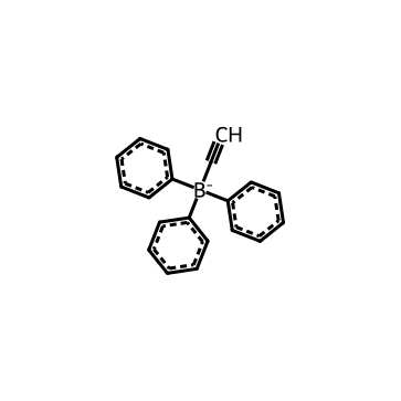 C#C[B-](c1ccccc1)(c1ccccc1)c1ccccc1